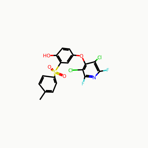 Cc1ccc(S(=O)(=O)c2cc(Oc3c(Cl)c(F)nc(F)c3Cl)ccc2O)cc1